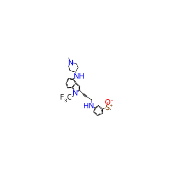 CN1CCC(Nc2cccc3c2cc(C#CCNc2cccc([S+](C)[O-])c2)n3CC(F)(F)F)CC1